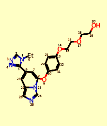 CCn1cnnc1-c1cc(Oc2ccc(OCCOCCO)cc2)n2cncc2c1